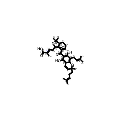 CC(C)=CCCC1(C)C=Cc2c(O)c(C(=O)C3=CC4CC5C3C(C/C=C(\C)C(=O)O)(O4)OC5(C)C)c(O)c(CC=C(C)C)c2O1